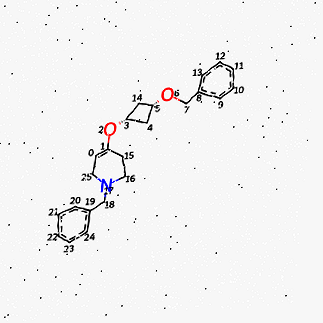 C1=C(O[C@H]2C[C@@H](OCc3ccccc3)C2)CCN(Cc2ccccc2)C1